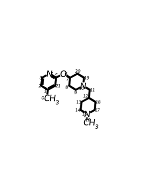 Cc1ccnc(OC2CCN(CC3CCN(C)CC3)CC2)c1